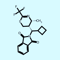 C[C@H]1N=C(C(F)(F)F)SC[C@H]1C(C1CCC1)N1C(=O)c2ccccc2C1=O